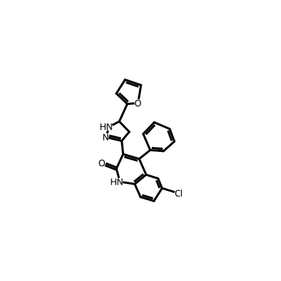 O=c1[nH]c2ccc(Cl)cc2c(-c2ccccc2)c1C1=NNC(c2ccco2)C1